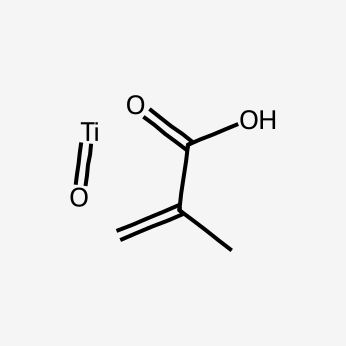 C=C(C)C(=O)O.[O]=[Ti]